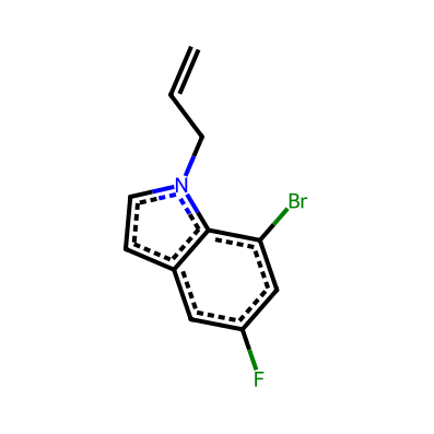 C=CCn1ccc2cc(F)cc(Br)c21